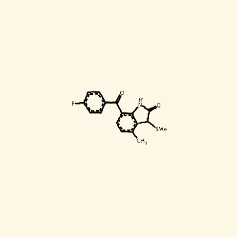 CSC1C(=O)Nc2c(C(=O)c3ccc(F)cc3)ccc(C)c21